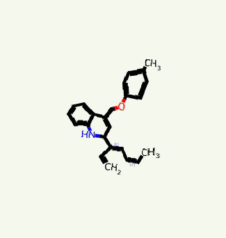 C=C/C(=C\C=C/C)C1C=C(COc2ccc(C)cc2)c2ccccc2N1